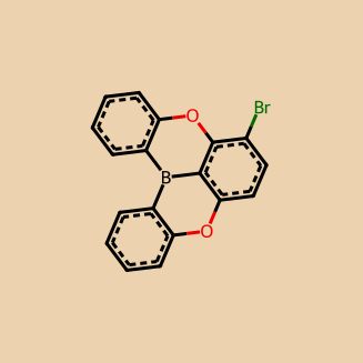 Brc1ccc2c3c1Oc1ccccc1B3c1ccccc1O2